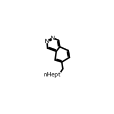 CCCCCCCCc1ccc2cnncc2c1